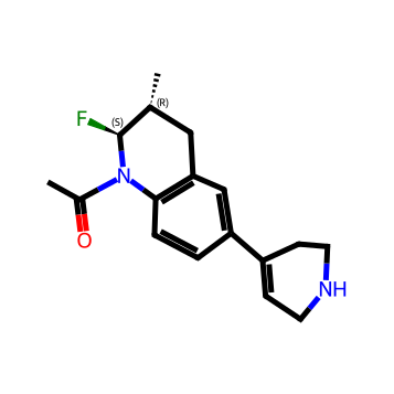 CC(=O)N1c2ccc(C3=CCNCC3)cc2C[C@@H](C)[C@@H]1F